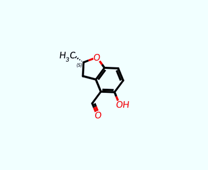 C[C@H]1Cc2c(ccc(O)c2C=O)O1